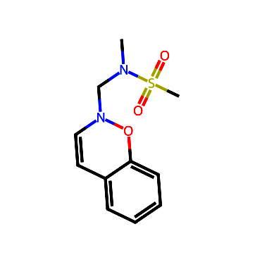 CN(CN1C=Cc2ccccc2O1)S(C)(=O)=O